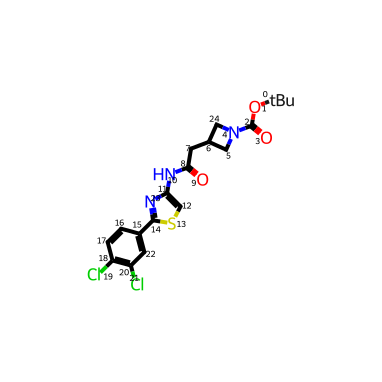 CC(C)(C)OC(=O)N1CC(CC(=O)Nc2csc(-c3ccc(Cl)c(Cl)c3)n2)C1